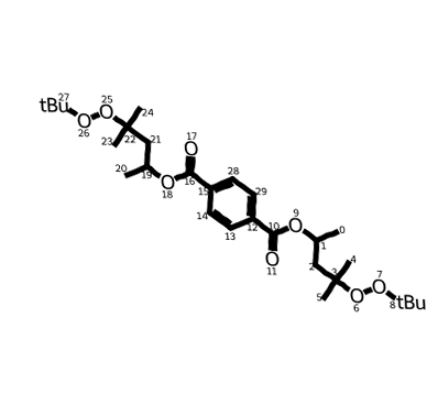 CC(CC(C)(C)OOC(C)(C)C)OC(=O)c1ccc(C(=O)OC(C)CC(C)(C)OOC(C)(C)C)cc1